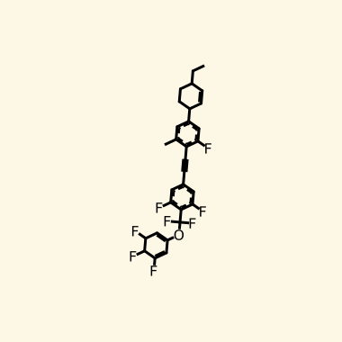 CCC1C=CC(c2cc(C)c(C#Cc3cc(F)c(C(F)(F)OC4=CC(F)C(F)C(F)=C4)c(F)c3)c(F)c2)CC1